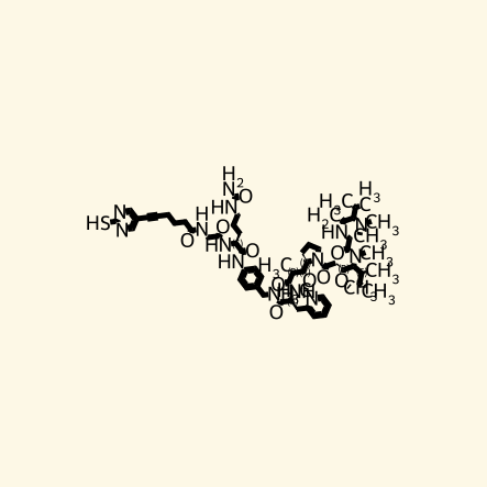 C=C(NCC(=O)N(C)C([C@@H](C)CC)[C@@H](CC(=O)N1CCC[C@H]1[C@H](OC)[C@@H](C)C(=O)N[C@@H](Cc1ccccn1)C(=O)NCc1ccc(NC(=O)[C@H](CCCNC(N)=O)NC(=O)CNC(=O)CCCC#Cc2cnc(S)nc2)cc1)OC)C(C(C)C)N(C)C